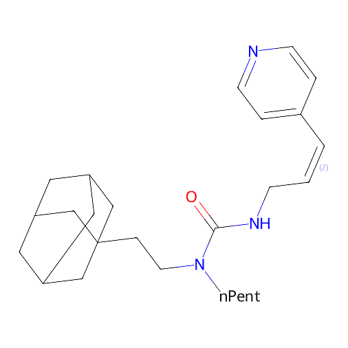 CCCCCN(CCC12CC3CC(CC(C3)C1)C2)C(=O)NC/C=C\c1ccncc1